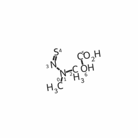 CN(C)N=S.O=C(O)O